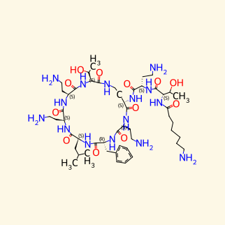 CC(C)C[C@@H]1NC(=O)[C@@H](Cc2ccccc2)NC(=O)[C@H](CCN)NC(=O)[C@@H](NC(=O)[C@H](CCN)NC(=O)[C@@H](NC(=O)CCCCCCN)C(C)O)CCNC(=O)[C@H](C(C)O)NC(=O)[C@H](CCN)NC(=O)[C@H](CCN)NC1=O